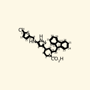 O=C(O)N1CCC(c2cc(NCc3ccc(Cl)s3)[nH]n2)CC1CC1c2ccccc2-c2ccccc21